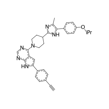 C#Cc1ccc(-c2cc3c(N4CCC(c5nc(C)c(-c6ccc(OC(C)C)cc6)[nH]5)CC4)ncnc3[nH]2)cc1